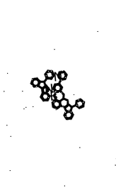 c1ccc(C2C3=C(c4ccccc42)c2cccc4c2C(C3)Cc2cc(-c3ccccn3)cc3c2B4c2cccc4c5c(n-3c24)C(c2ccccc2)c2ccccc2-5)cc1